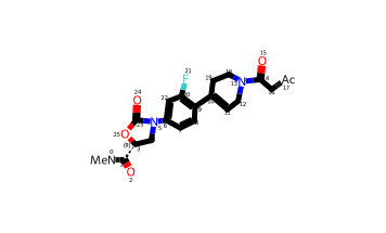 CNC(=O)[C@H]1CN(c2ccc(C3=CCN(C(=O)CC(C)=O)CC3)c(F)c2)C(=O)O1